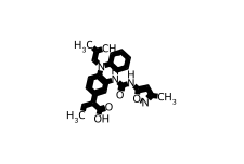 CCC(C(=O)O)c1ccc(N(CC(C)C)C2CCCCC2)c(NC(=O)Nc2cc(C)no2)c1